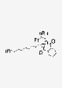 CCCCC(CC)COC(=O)C1CCCCC1C(=O)OCCCCCCCCC(C)C